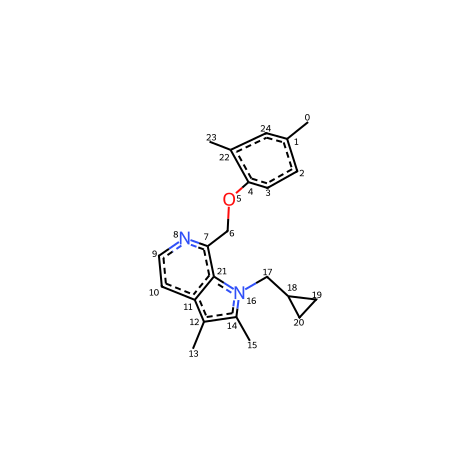 Cc1ccc(OCc2nccc3c(C)c(C)n(CC4CC4)c23)c(C)c1